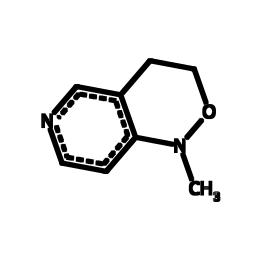 CN1OCCc2cnccc21